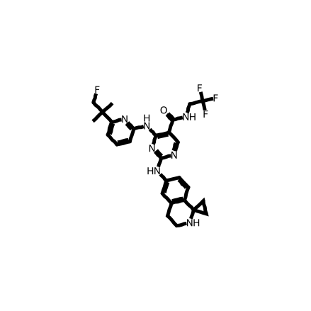 CC(C)(CF)c1cccc(Nc2nc(Nc3ccc4c(c3)CCNC43CC3)ncc2C(=O)NCC(F)(F)F)n1